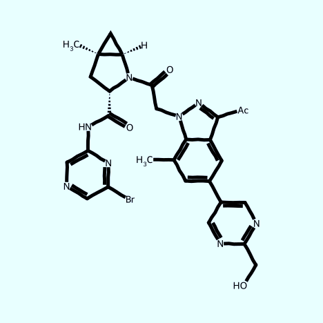 CC(=O)c1nn(CC(=O)N2[C@H](C(=O)Nc3cncc(Br)n3)C[C@@]3(C)C[C@@H]23)c2c(C)cc(-c3cnc(CO)nc3)cc12